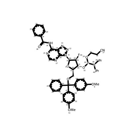 COc1ccc(C(OC[C@H]2O[C@@H](n3nnc4c(NC(=O)c5ccccc5)ncnc43)[C@@H](F)[C@@H]2OP(OCCC#N)N(C(C)C)C(C)C)(c2ccccc2)c2ccc(OC)cc2)cc1